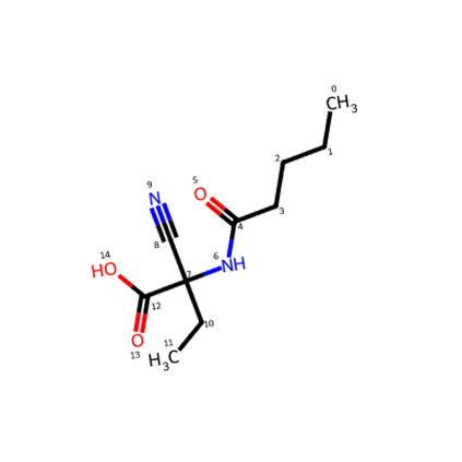 CCCCC(=O)NC(C#N)(CC)C(=O)O